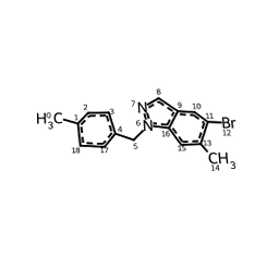 Cc1ccc(Cn2ncc3cc(Br)c(C)cc32)cc1